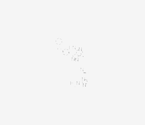 Nc1ncnc2c1c(-c1ccc(Oc3ccccc3)cc1)nn2C1CCN(C(=O)Cn2ccnc2N)CC1